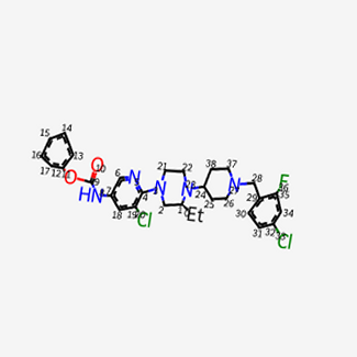 CC[C@H]1CN(c2ncc(NC(=O)Oc3ccccc3)cc2Cl)CCN1C1CCN(Cc2ccc(Cl)cc2F)CC1